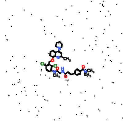 Cc1cc(N2CCCCC2)c2cccc(OCc3c(Cl)ccc(N(C)C(=O)CNC(=O)C=Cc4ccc(C(=O)N(C)C)cc4)c3Cl)c2n1